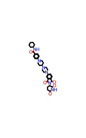 O=C1CCC(N2C(=O)c3ccc(N4CCN(C5CCN(c6ccc(C(=O)NC7CCCCC7)cc6)CC5)CC4)cc3C2=O)C(=O)N1